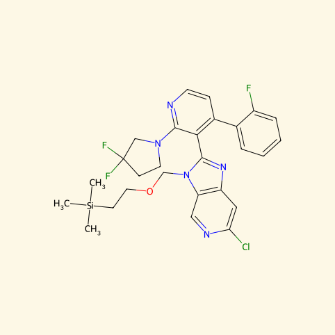 C[Si](C)(C)CCOCn1c(-c2c(-c3ccccc3F)ccnc2N2CCC(F)(F)C2)nc2cc(Cl)ncc21